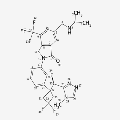 CC(C)NCc1cc2c(c(C(F)(F)F)c1)CN(c1cccc(C3([C@@H](F)c4nncn4C)CC(F)(F)C3)c1)C2=O